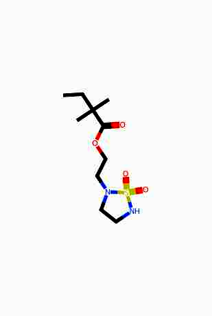 CCC(C)(C)C(=O)OCCN1CCNS1(=O)=O